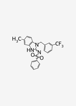 Cc1ccc2c(c1)[nH]c(=NS(=O)(=O)c1ccccc1)n2Cc1cccc(C(F)(F)F)c1